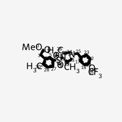 COC(=O)Cc1cc(S(=O)(=O)N2[C@H](C)CN(Cc3ccc(OC(F)(F)F)cc3)C[C@@H]2C)ccc1C